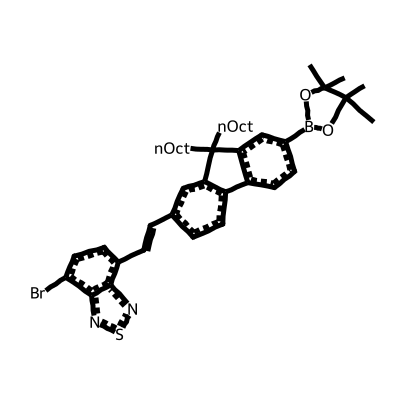 CCCCCCCCC1(CCCCCCCC)c2cc(/C=C/c3ccc(Br)c4nsnc34)ccc2-c2ccc(B3OC(C)(C)C(C)(C)O3)cc21